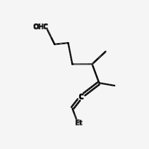 CCC=C=C(C)C(C)CCCC=O